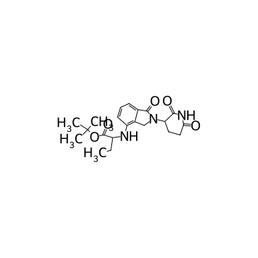 CCC(Nc1cccc2c1CN(C1CCC(=O)NC1=O)C2=O)C(=O)OC(C)(C)C